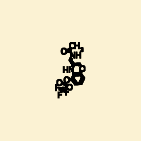 CC(=O)NCC1COc2cccc(OS(=O)(=O)C(F)(F)F)c2N1